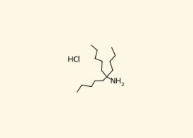 CCCCCC(N)(CCCC)CCCCC.Cl